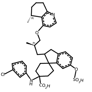 C[C@@H](COc1ccnc2c1[C@H](C)CCC2)CC1Cc2ccc(OS(=O)(=O)O)cc2C12CCC(Nc1cccc(Cl)c1)(C(=O)O)CC2